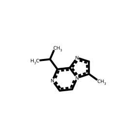 Cc1cnc2c(C(C)C)nccn12